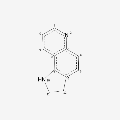 c1cnc2ccc3c(c2c1)NCC3